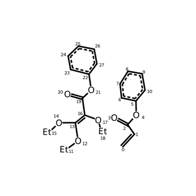 C=CC(=O)Oc1ccccc1.CCOC(OCC)=C(OCC)C(=O)Oc1ccccc1